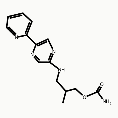 CC(CNc1cnc(-c2ccccn2)cn1)COC(N)=O